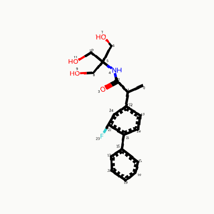 CC(C(=O)NC(CO)(CO)CO)c1ccc(-c2ccccc2)c(F)c1